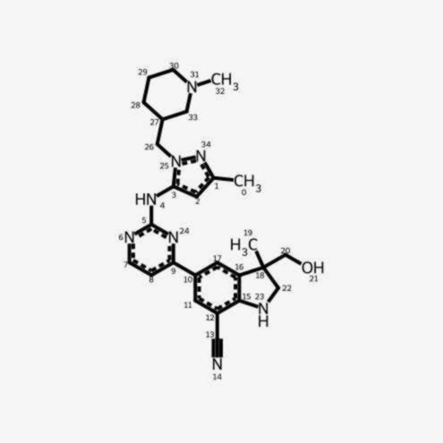 Cc1cc(Nc2nccc(-c3cc(C#N)c4c(c3)C(C)(CO)CN4)n2)n(CC2CCCN(C)C2)n1